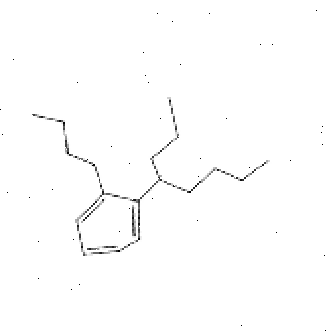 CCCC[C](CCC)c1ccccc1CCCC